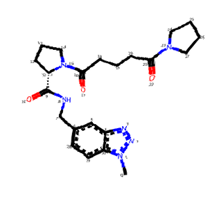 Cn1nnc2cc(CNC(=O)[C@@H]3CCCN3C(=O)CCCC(=O)N3CCCC3)ccc21